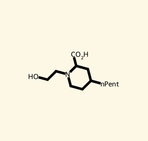 CCCCCC1CCN(CCO)C(C(=O)O)C1